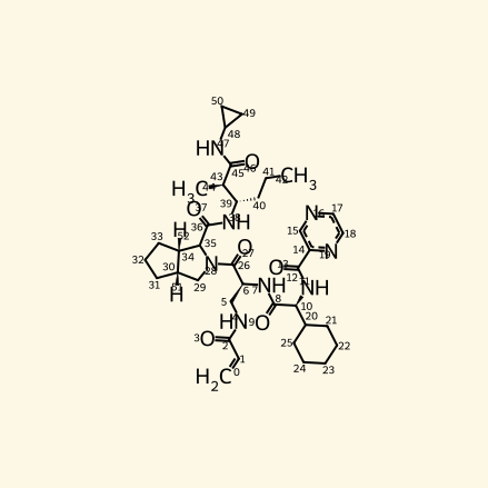 C=CC(=O)NC[C@H](NC(=O)[C@@H](NC(=O)c1cnccn1)C1CCCCC1)C(=O)N1C[C@@H]2CCC[C@@H]2C1C(=O)N[C@@H](CCC)[C@@H](C)C(=O)NC1CC1